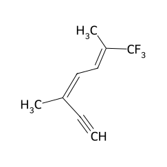 C#C/C(C)=C\C=C(/C)C(F)(F)F